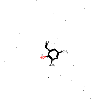 C=Cc1cc(C)cc(C)c1O